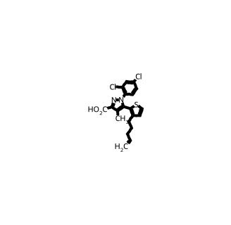 C=CCCCc1ccsc1-c1c(C)c(C(=O)O)nn1-c1ccc(Cl)cc1Cl